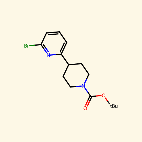 CC(C)(C)OC(=O)N1CCC(c2cccc(Br)n2)CC1